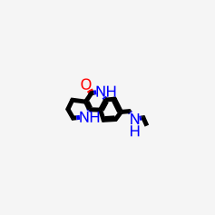 CCNCc1ccc2c3c(c(=O)[nH]c2c1)CCCN3